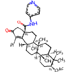 CC(=O)O[C@H]1CC[C@]2(C)[C@H]3CC[C@@H]4C5=C(C(C)C)C(=O)C[C@]5(C(=O)Nc5ccncc5)CC[C@@]4(C)[C@]3(C)CC[C@H]2C1(C)C